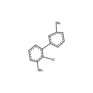 CC(C)(C)c1cccc(-c2cccc(C(C)(C)C)c2Cl)c1